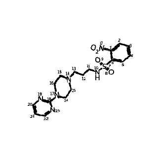 O=[N+]([O-])c1ccccc1S(=O)(=O)NCCCN1CCN(c2ncccn2)CC1